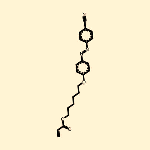 C=CC(=O)OCCCCCCOc1ccc(N=Nc2ccc(C#N)cc2)cc1